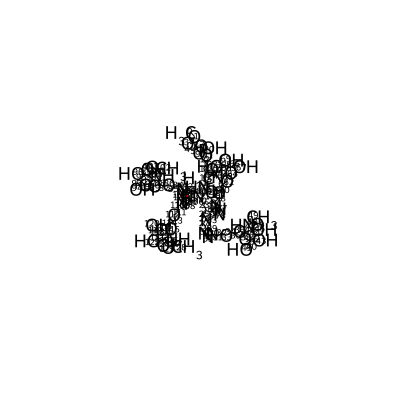 COC1OCC[C@H]1OP(=O)(O)OCCCCCCNC(=O)[C@H](CCCCN(Cc1cn(CCOCCO[C@@H]2O[C@H](CO)[C@H](O)[C@H](O)[C@H]2NC(C)=O)nn1)Cc1cn(CCOCCO[C@@H]2O[C@H](CO)[C@H](O)[C@H](O)[C@H]2NC(C)=O)nn1)N(Cc1cn(CCOCCO[C@@H]2O[C@H](CO)[C@H](O)[C@H](O)[C@H]2NC(C)=O)nn1)Cc1cn(CCOCCO[C@@H]2O[C@H](CO)[C@H](O)[C@H](O)[C@H]2NC(C)=O)nn1